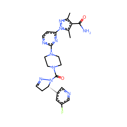 Cc1nn(-c2ccnc(N3CCN(C(=O)N4N=CC[C@H]4c4cncc(F)c4)CC3)n2)c(C)c1C(N)=O